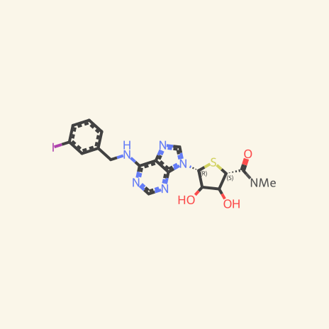 CNC(=O)[C@H]1S[C@@H](n2cnc3c(NCc4cccc(I)c4)ncnc32)C(O)C1O